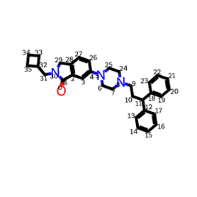 O=C1c2cc(N3CCN(CCC(c4ccccc4)c4ccccc4)CC3)ccc2CN1CC1CCC1